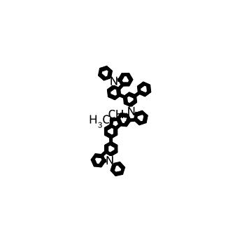 CC1(C)c2ccc(-c3ccc4c(c3)c3ccccc3n4-c3ccccc3)cc2-c2cc3c4ccccc4n(-c4cc(-c5ccccc5)cc(-c5cccc6c5c5ccccc5n6-c5ccccc5)c4)c3cc21